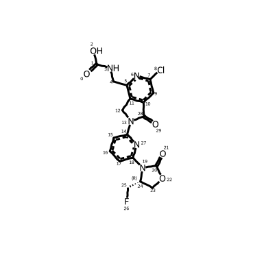 O=C(O)NCc1nc(Cl)cc2c1CN(c1cccc(N3C(=O)OC[C@@H]3CF)n1)C2=O